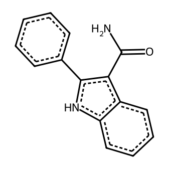 NC(=O)c1c(-c2ccccc2)[nH]c2ccccc12